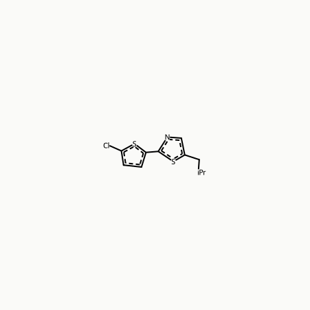 CC(C)Cc1cnc(-c2ccc(Cl)s2)s1